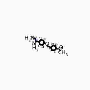 C[S+]([O-])c1ccc(COc2ccc(/C(N)=C/N)cc2)cc1